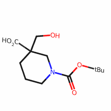 CC(C)(C)OC(=O)N1CCCC(CO)(C(=O)O)C1